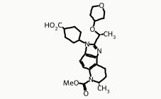 COC(=O)N1c2ccc3c(nc([C@H](C)OC4CCOCC4)n3C3CCC(C(=O)O)CC3)c2CC[C@@H]1C